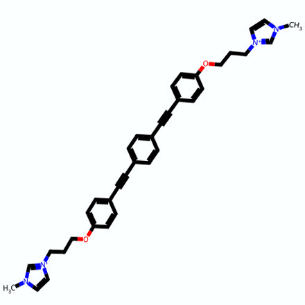 Cn1cc[n+](CCCOc2ccc(C#Cc3ccc(C#Cc4ccc(OCCC[n+]5ccn(C)c5)cc4)cc3)cc2)c1